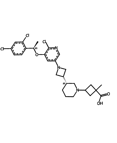 C[C@@H](Oc1cc(N2CC([C@H]3CCCN(C4CC(C)(C(=O)O)C4)C3)C2)cnc1Cl)c1ccc(Cl)cc1Cl